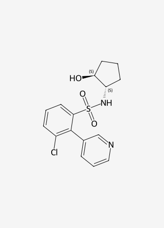 O=S(=O)(N[C@H]1CCC[C@@H]1O)c1cccc(Cl)c1-c1cccnc1